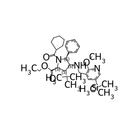 CCOC(=O)[C@@H]1[C@@H](C(C)(C)C)[C@H](NCc2cc([Si](C)(C)C)cnc2OC)[C@H](c2ccccc2)N1C(=O)C1CCCCC1